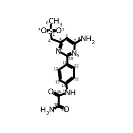 CS(=O)(=O)Cc1cc(N)nc(-c2ccc(NC(=O)C(N)=O)cc2)n1